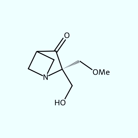 COC[C@@]1(CO)C(=O)C2CN1C2